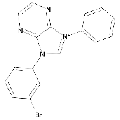 Brc1cccc(-n2c[n+](-c3ccccc3)c3nccnc32)c1